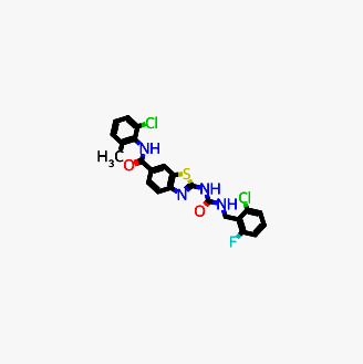 Cc1cccc(Cl)c1NC(=O)c1ccc2nc(NC(=O)NCc3c(F)cccc3Cl)sc2c1